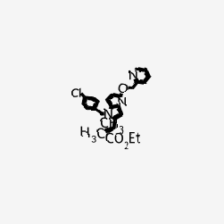 CCOC(=O)C(C)(C)Cc1cc2nc(OCc3ccccn3)ccc2n1Cc1ccc(Cl)cc1